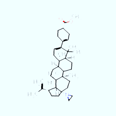 C=C(C)[C@@H]1CC[C@]2(N3CC3)CC[C@]3(C)[C@H](CC[C@@H]4[C@@]5(C)CC=C(C6=CC[C@@H](C(=O)OC)CC6)C(C)(C)[C@@H]5CC[C@]43C)[C@@H]12